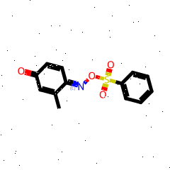 CC1=CC(=O)C=C/C1=N\OS(=O)(=O)c1ccccc1